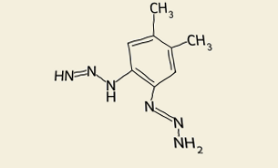 Cc1cc(N=NN)c(NN=N)cc1C